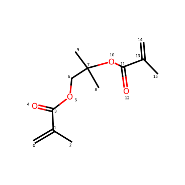 C=C(C)C(=O)OCC(C)(C)OC(=O)C(=C)C